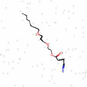 CCCCCCOCCOCCOC(=O)C=CC#N